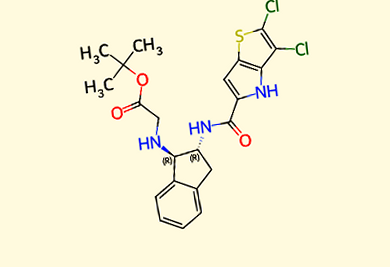 CC(C)(C)OC(=O)CN[C@@H]1c2ccccc2C[C@H]1NC(=O)c1cc2sc(Cl)c(Cl)c2[nH]1